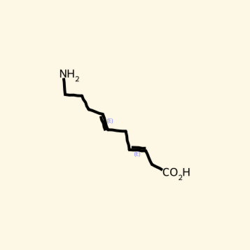 NCCC/C=C/C/C=C/CC(=O)O